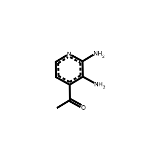 CC(=O)c1ccnc(N)c1N